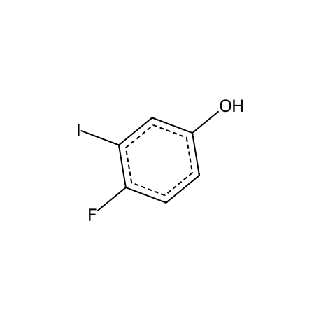 Oc1ccc(F)c(I)c1